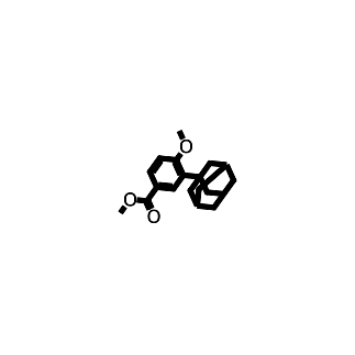 COC(=O)c1ccc(OC)c(C23CC4CC(CC(C4)C2)C3)c1